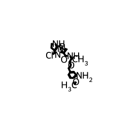 COc1ccc(COCC(C)NC(=O)c2cnn3c4c(c(Cl)nc23)CCN4)cc1N